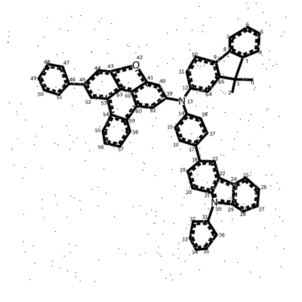 CC1(C)c2ccccc2-c2ccc(N(c3ccc(-c4ccc5c(c4)c4ccccc4n5-c4ccccc4)cc3)c3cc4oc5cc(-c6ccccc6)cc6c7ccccc7c(c3)c4c56)cc21